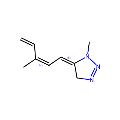 C=C/C(C)=C\C=C1/CN=NN1C